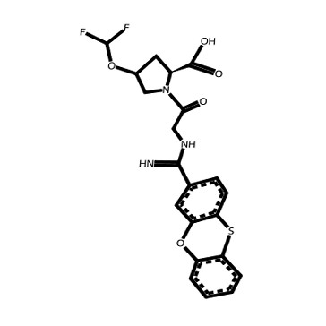 N=C(NCC(=O)N1CC(OC(F)F)C[C@H]1C(=O)O)c1ccc2c(c1)Oc1ccccc1S2